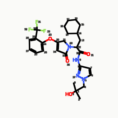 CC(C)(O)Cn1ccc(NC(=O)C(CC2CCCCC2)N2CC(Oc3ccccc3C(F)(F)F)=CC2=O)n1